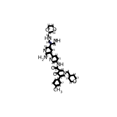 Cc1ccc(-c2cn(CC3CCOCC3)cc(C(=O)Nc3ccc(-c4cc(/C(C=N)=C/NC[C@H]5COCCO5)cnc4N)nc3)c2=O)cc1